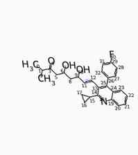 CC(C)C(=O)CC(O)CC(O)/C=C/c1c(C2CC2)nc2ccccc2c1-c1ccc(F)cc1